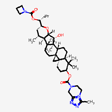 Cc1nnc2n1CCN(C(=O)O[C@H]1CC[C@]34C[C@]35CC[C@]3(C)[C@@H]6[C@H](O[C@@H]([C@H](OC(=O)N7CCC7)C(C)C)C[C@H]6C)[C@H](O)[C@@]3(C)[C@@H]5CC[C@H]4C1(C)C)C2